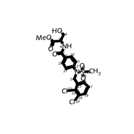 COC(=O)C(CO)NC(=O)c1ccc(N(Cc2cccc(Cl)c2Cl)S(C)(=O)=O)cc1